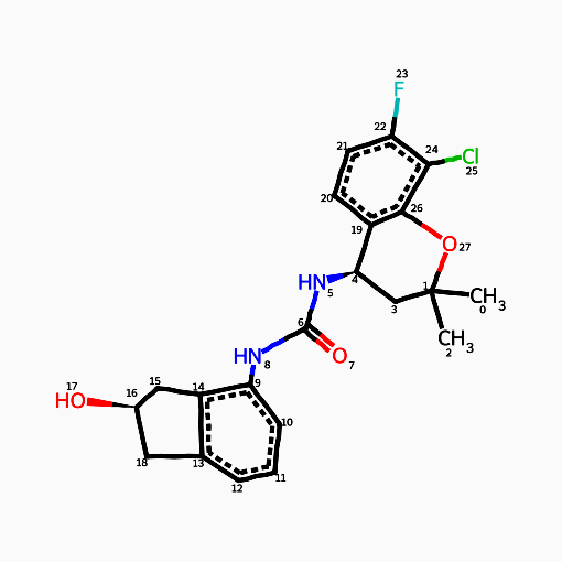 CC1(C)C[C@@H](NC(=O)Nc2cccc3c2C[C@H](O)C3)c2ccc(F)c(Cl)c2O1